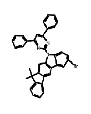 CC1(C)c2ccccc2-c2cc3c4cc(Br)ccc4n(-c4nc(-c5ccccc5)cc(-c5ccccc5)n4)c3cc21